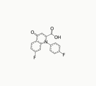 O=C(O)c1cc(=O)c2ccc(F)cc2n1-c1ccc(F)cc1